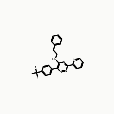 FC(F)(F)c1ccc(-c2nnc(-c3ccccn3)nc2NCCc2ccccc2)cc1